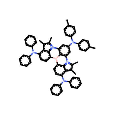 Cc1ccc(N(c2ccc(C)cc2)c2cc3c4c(c2)-n2c(C)c(C)c5c(N(c6ccccc6)c6ccccc6)ccc(c52)B4c2ccc(N(c4ccccc4)c4ccccc4)c4c(C)c(C)n-3c24)cc1